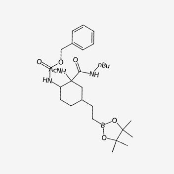 CCCCNC(=O)C1(NC(C)=O)CC(CCB2OC(C)(C)C(C)(C)O2)CCC1NC(=O)OCc1ccccc1